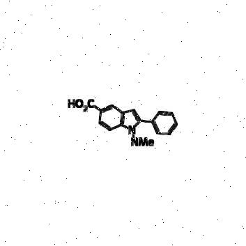 CNn1c(-c2ccccc2)cc2cc(C(=O)O)ccc21